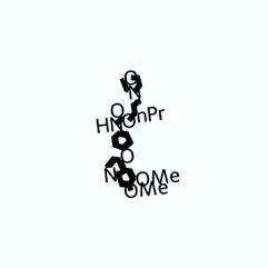 CCCC(CCN1CCOCC1)OC(=O)Nc1ccc(Oc2ccnc3cc(OC)c(OC)cc23)cc1